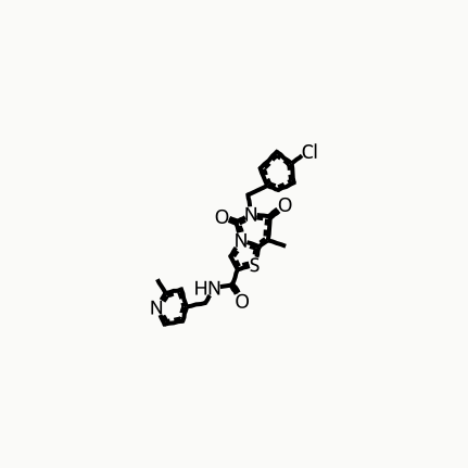 Cc1cc(CNC(=O)c2cn3c(=O)n(Cc4ccc(Cl)cc4)c(=O)c(C)c3s2)ccn1